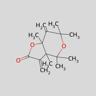 C=C1C(C)(C)OC(C)(C)C2(C)C(=C)C(=O)OC12C